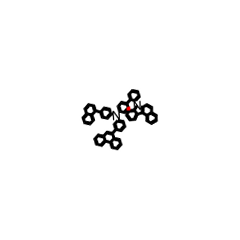 c1cc(-c2cc3ccccc3c3ccccc23)cc(N(c2ccc(-c3ccccc3-n3c4ccccc4c4c5ccccc5ccc43)cc2)c2ccc(-c3cccc4ccccc34)cc2)c1